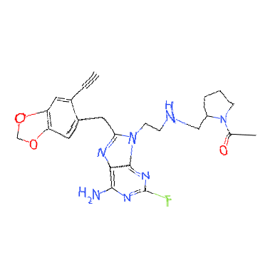 C#Cc1cc2c(cc1Cc1nc3c(N)nc(F)nc3n1CCNCC1CCCN1C(C)=O)OCO2